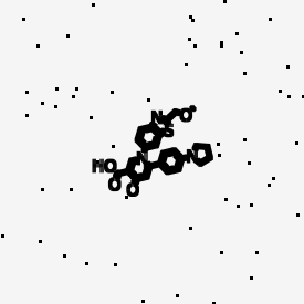 COCc1nc2ccc(-n3cc(C(=O)O)c(=O)cc3-c3ccc(N4CCCC4)cc3)cc2s1